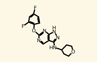 Fc1ccc(Oc2ncc3c(NC4CCOCC4)n[nH]c3n2)c(F)c1